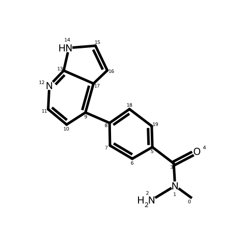 CN(N)C(=O)c1ccc(-c2ccnc3[nH]ccc23)cc1